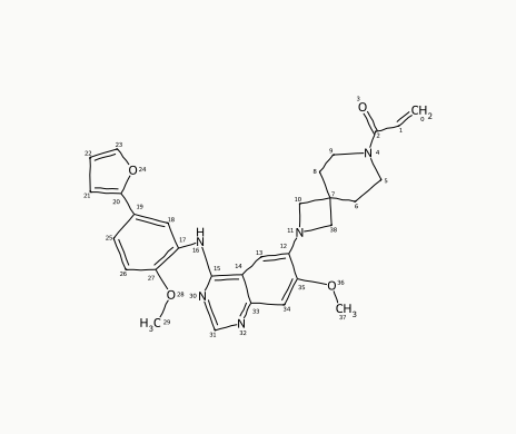 C=CC(=O)N1CCC2(CC1)CN(c1cc3c(Nc4cc(-c5ccco5)ccc4OC)ncnc3cc1OC)C2